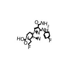 N#C[C@H]1C(CCF)N(C(=O)O)CC[C@H]1n1cc(C(N)=O)c(Nc2ccc(F)cc2)n1